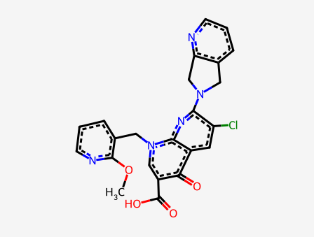 COc1ncccc1Cn1cc(C(=O)O)c(=O)c2cc(Cl)c(N3Cc4cccnc4C3)nc21